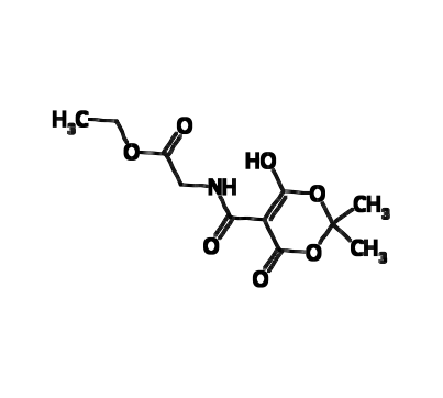 CCOC(=O)CNC(=O)C1=C(O)OC(C)(C)OC1=O